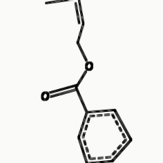 C/C=C\COC(=O)c1ccccc1